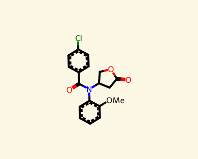 COc1ccccc1N(C(=O)c1ccc(Cl)cc1)C1COC(=O)C1